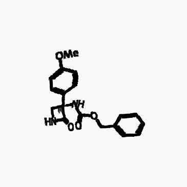 COc1ccc([C@@]2(NC(=O)OCc3ccccc3)CNC2=O)cc1